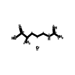 N=C(N)NCCCC(N)C(=O)O.[Cr]